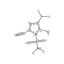 CC(C)c1nc(C#N)n(S(=O)(=O)N(C)C)c1Cl